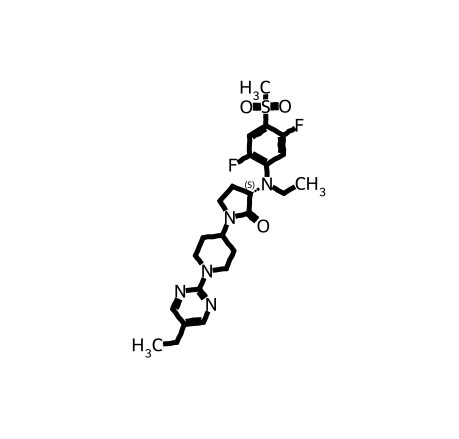 CCc1cnc(N2CCC(N3CC[C@H](N(CC)c4cc(F)c(S(C)(=O)=O)cc4F)C3=O)CC2)nc1